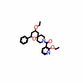 CCOc1ncccc1C(=O)N1CCC2(CC1)CC(OCC)CC(c1ccccc1)O2